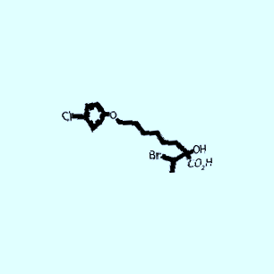 CC(Br)C(O)(CCCCCCOc1ccc(Cl)cc1)C(=O)O